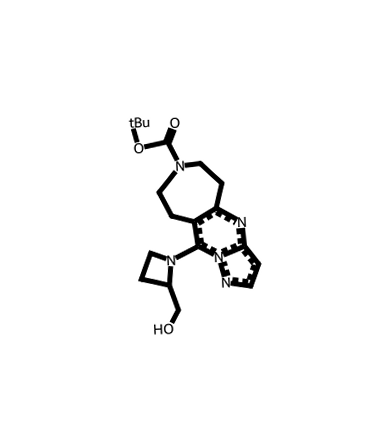 CC(C)(C)OC(=O)N1CCc2nc3ccnn3c(N3CCC3CO)c2CC1